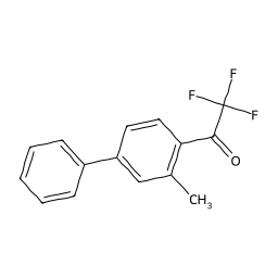 Cc1cc(-c2ccccc2)ccc1C(=O)C(F)(F)F